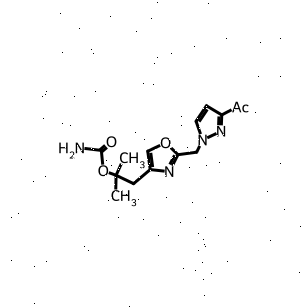 CC(=O)c1ccn(Cc2nc(CC(C)(C)OC(N)=O)co2)n1